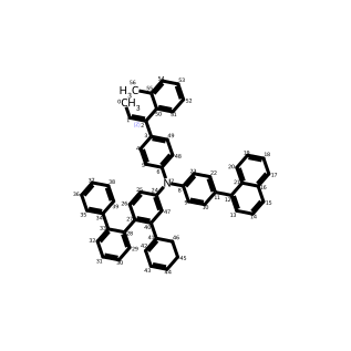 C/C=C(/c1ccc(N(c2ccc(-c3cccc4ccccc34)cc2)c2ccc(-c3ccccc3-c3ccccc3)c(C3=CC=CCC3)c2)cc1)c1ccccc1C